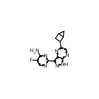 Nc1nc(-c2n[nH]c3ncc(C4CC5CC54)nc23)ncc1F